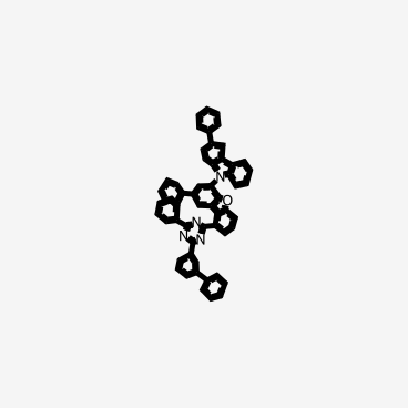 c1ccc(-c2cccc(-c3nc(-c4ccccc4)nc(-c4cccc5oc6c(-n7c8ccccc8c8cc(-c9ccccc9)ccc87)cc(-c7ccccc7)cc6c45)n3)c2)cc1